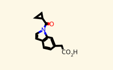 O=C(O)Cc1ccc2ccn(C(=O)C3CC3)c2c1